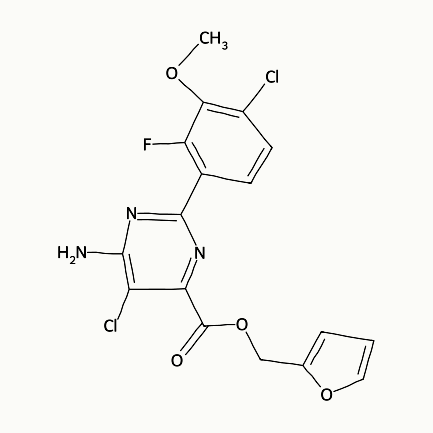 COc1c(Cl)ccc(-c2nc(N)c(Cl)c(C(=O)OCc3ccco3)n2)c1F